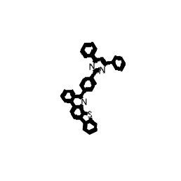 c1ccc(-c2cc(-c3ccccc3)nc(-c3ccc(-c4nc5c(ccc6c7ccccc7sc65)c5ccccc45)cc3)n2)cc1